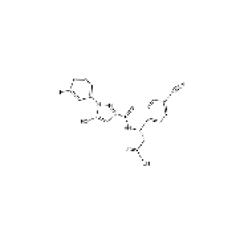 N#Cc1ccc([C@H](CC(=O)O)NC(=O)c2cc(O)n(-c3cccc(F)c3)n2)cc1